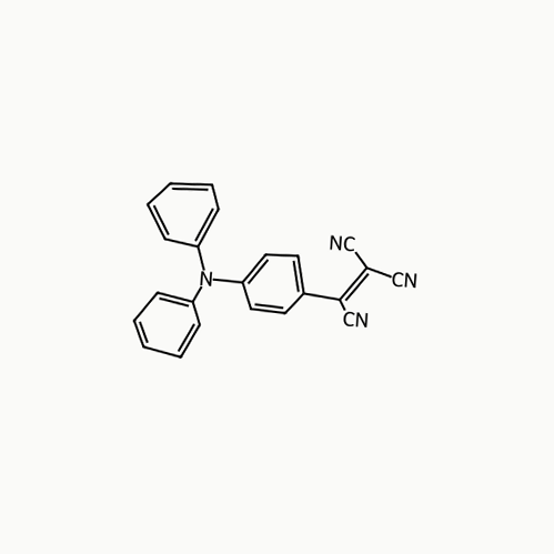 N#CC(C#N)=C(C#N)c1ccc(N(c2ccccc2)c2ccccc2)cc1